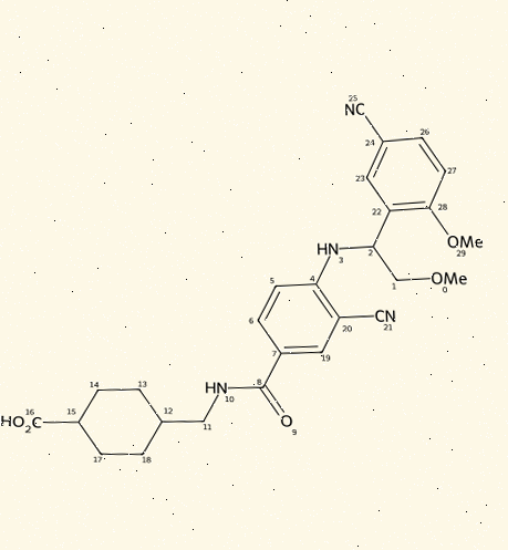 COCC(Nc1ccc(C(=O)NCC2CCC(C(=O)O)CC2)cc1C#N)c1cc(C#N)ccc1OC